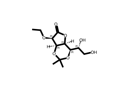 CCO[C@H]1C(=O)O[C@@H]2[C@H]1OC(C)(C)O[C@@H]2[C@H](O)CO